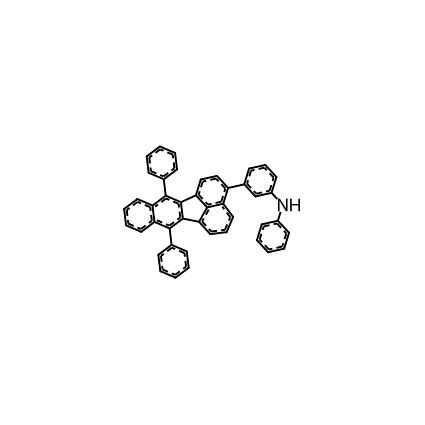 c1ccc(Nc2cccc(-c3ccc4c5c(cccc35)-c3c-4c(-c4ccccc4)c4ccccc4c3-c3ccccc3)c2)cc1